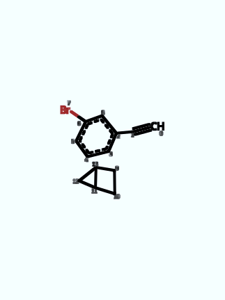 C#Cc1cccc(Br)c1.C1CC2CC12